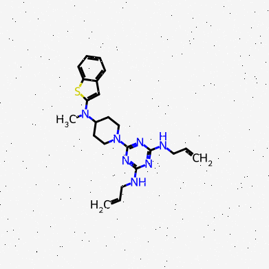 C=CCNc1nc(NCC=C)nc(N2CCC(N(C)c3cc4ccccc4s3)CC2)n1